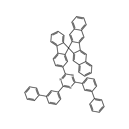 c1ccc(-c2cccc(-c3nc(-c4cccc(-c5ccccc5)c4)nc(-c4ccc5c(c4)C4(c6ccccc6-5)c5cc6ccccc6cc5-c5cc6ccccc6cc54)n3)c2)cc1